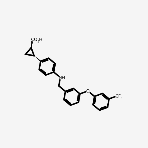 O=C(O)[C@@H]1C[C@H]1c1ccc(NCc2cccc(Oc3cccc(C(F)(F)F)c3)c2)cc1